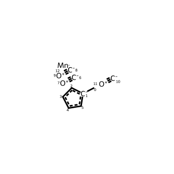 C[c-]1cccc1.[C-]#[O+].[C-]#[O+].[C-]#[O+].[Mn]